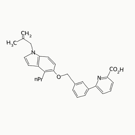 C=C(C)Cn1ccc2c(CCC)c(OCc3cccc(-c4cccc(C(=O)O)n4)c3)ccc21